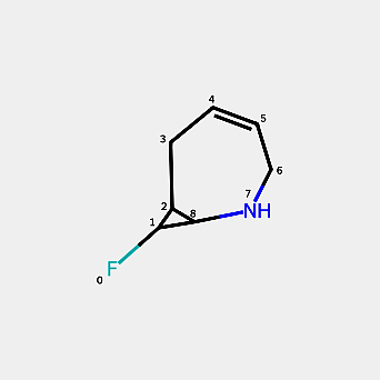 FC1C2CC=CCNC12